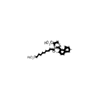 O=C(O)CCCCCCCCC(=O)N1C(c2cccc3ccccc23)SC[C@H]1C(=O)O